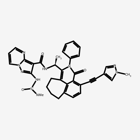 CN[S+]([O-])Nc1nn2cccnc2c1C(=O)N[C@@H](C)c1c2c3c(ccc(C#Cc4cnn(C)c4)c3c(=O)n1-c1ccccc1)CCCC2